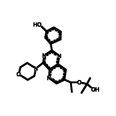 CC(OC(C)(C)O)c1cnc2c(N3CCOCC3)nc(-c3cccc(O)c3)nc2c1